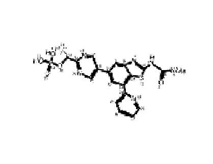 CNC(=O)Nc1nc2cc(-c3cnc([C@@H](C)OP(=O)(O)O)nc3)cc(-c3ccccn3)c2s1